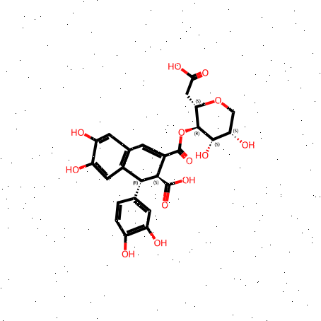 O=C(O)C[C@@H]1OC[C@H](O)[C@H](O)[C@H]1OC(=O)C1=Cc2cc(O)c(O)cc2[C@@H](c2ccc(O)c(O)c2)[C@@H]1C(=O)O